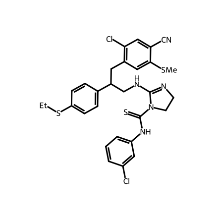 CCSc1ccc(C(CNC2=NCCN2C(=S)Nc2cccc(Cl)c2)Cc2cc(SC)c(C#N)cc2Cl)cc1